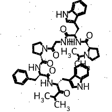 CC(C)C(=O)[C@@H](Cc1c[nH]c2ccccc12)NC(=O)[C@@H](Cc1ccccc1)NC(=O)[C@H]1CCCN1C(=O)CNC(=O)[C@@H](Cc1c[nH]c2ccccc12)NC(=O)[C@H]1CCCN1C(C)C